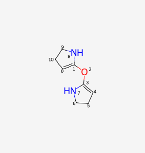 C1=C(OC2=CCCN2)NCC1